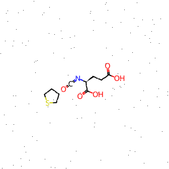 C1CCSC1.O=C=N[C@@H](CCC(=O)O)C(=O)O